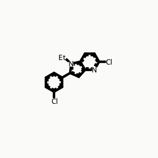 CCn1c(-c2cccc(Cl)c2)cc2nc(Cl)ccc21